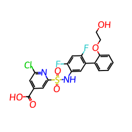 O=C(O)c1cc(Cl)nc(S(=O)(=O)Nc2cc(-c3ccccc3OCCO)c(F)cc2F)c1